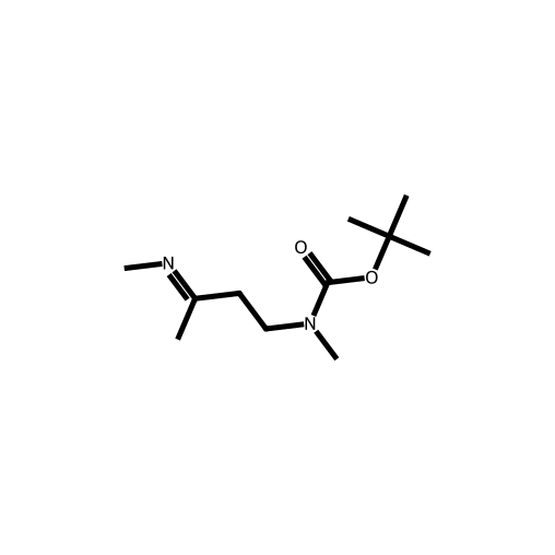 C/N=C(\C)CCN(C)C(=O)OC(C)(C)C